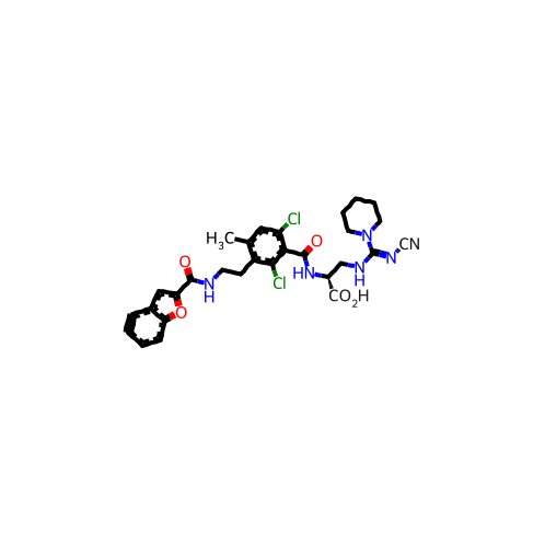 Cc1cc(Cl)c(C(=O)N[C@@H](CN/C(=N/C#N)N2CCCCC2)C(=O)O)c(Cl)c1CCNC(=O)c1cc2c#cccc2o1